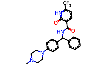 CN1CCN(c2ccc(C(NC(=O)c3ccc(C(F)(F)F)[nH]c3=O)c3ccccc3)cc2)CC1